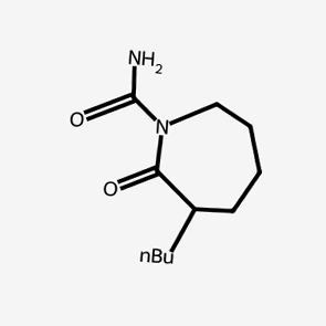 CCCCC1CCCCN(C(N)=O)C1=O